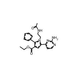 CCOC(=O)c1cc(-c2ccnc(N)n2)n(CCNC(C)=O)c1-c1ccccc1